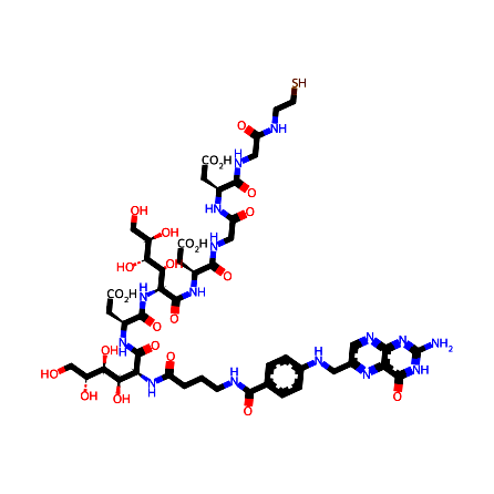 Nc1nc2ncc(CNc3ccc(C(=O)NCCCC(=O)N[C@H](C(=O)N[C@@H](CC(=O)O)C(=O)N[C@H](C(=O)N[C@@H](CC(=O)O)C(=O)NCC(=O)N[C@@H](CC(=O)O)C(=O)NCC(=O)NCCS)[C@@H](O)[C@H](O)[C@H](O)CO)[C@@H](O)[C@H](O)[C@H](O)CO)cc3)nc2c(=O)[nH]1